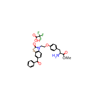 COC(=O)C(N)Cc1ccc(OCCn2c(=O)sc3cc(C(=O)c4ccccc4)ccc32)cc1.O=C(O)C(F)(F)F